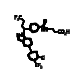 O=C(O)CCNC(=O)c1ccc(C(CCC(F)(F)F)n2ncc3cc(-c4ccc(C(F)(F)F)c(Cl)c4)ccc32)cc1